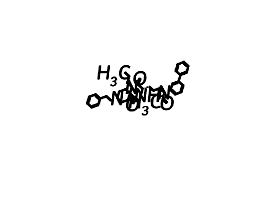 CCCN1C(=O)[C@H](CCCN(C(C)=O)c2cccc(-c3ccccc3)c2)NC(=O)C12CCN(CCc1ccccc1)CC2